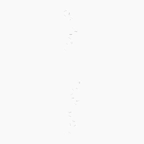 CC(=O)NCc1ccc(-c2cnc(C3CN(C(=O)c4ccc(NC(=O)[C@@H]5C[C@@H](OCCCCCCO[C@H]6CN[C@H](C(=O)Nc7ccc(C(=O)N8CC(c9nc%10ccccc%10s9)C8)s7)C6)CN5)s4)C3)s2)cc1